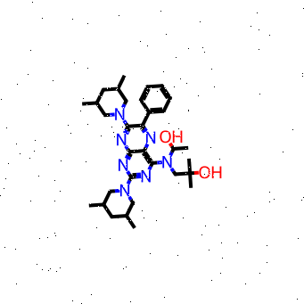 CC1CC(C)CN(c2nc(N(CC(C)(C)O)C(C)O)c3nc(-c4ccccc4)c(N4CC(C)CC(C)C4)nc3n2)C1